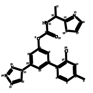 Cc1ccc(-c2cc(OC(=O)NC(C)c3nccs3)cc(-n3cnnn3)c2)c(Cl)c1